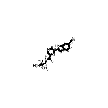 CC(C)(N)CNC(=O)c1cncc(-c2cc3ccc(C#N)cc3[nH]2)n1